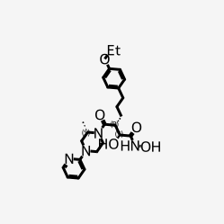 CCOc1ccc(CCC[C@@H](C(=O)N2CCN(c3ccccn3)C[C@@H]2C)[C@H](O)C(=O)NO)cc1